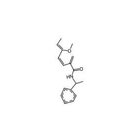 C=C(/C=C\C(=C\C)OC)C(=O)NC(C)c1ccccc1